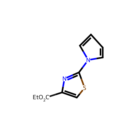 CCOC(=O)c1csc(-n2cccc2)n1